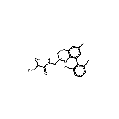 CCCC(O)C(=O)NC[C@H]1COc2cc(F)cc(-c3c(Cl)cccc3Cl)c2O1